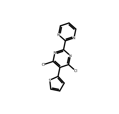 Clc1nc(-c2ncccn2)nc(Cl)c1-c1cccs1